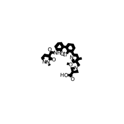 COc1nc(-c2cccc(-c3cccc(NC(=O)c4ccnn(C)c4=O)c3Cl)c2Cl)cc(C)c1CN1CC(C(=O)O)C1